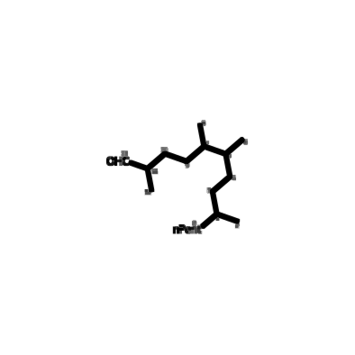 CCCCCC(C)CCC(C)C(C)CCC(C)C=O